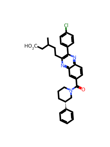 CC(CCc1nc2cc(C(=O)N3CCC[C@@H](c4ccccc4)C3)ccc2nc1-c1ccc(Cl)cc1)CC(=O)O